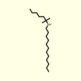 CCCCCCCCCCCCNC(C)(C)CCCCC